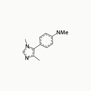 CNc1ccc(-c2c(C)ncn2C)cc1